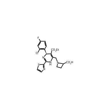 CCOC(=O)C1=C(CN2CCC2C(=O)O)NC(c2nccs2)=N[C@H]1c1ccc(F)cc1Cl